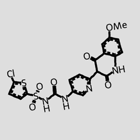 COc1ccc2c(c1)C(=O)C(c1ccc(NC(=O)NS(=O)(=O)c3ccc(Cl)s3)cn1)C(=O)N2